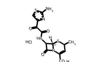 CC1C=C(C(=O)O)N2C(=O)C(NC(=O)C(=O)c3csc(N)n3)[C@@H]2S1.Cl